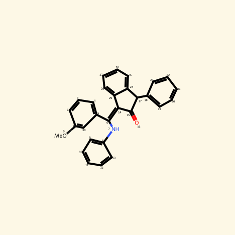 COc1cccc(/C(Nc2ccccc2)=C2/C(=O)C(c3ccccc3)c3ccccc32)c1